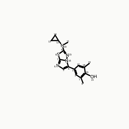 Cc1cc(-c2cnc3sc(N(C)C4CC4)nn23)cc(C)c1O